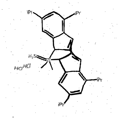 CC1=Cc2c(C(C)C)cc(C(C)C)cc2[CH]1[Zr]([CH3])([CH3])(=[SiH2])[CH]1C(C)=Cc2c(C(C)C)cc(C(C)C)cc21.Cl.Cl